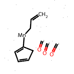 C=C[CH2][Mn][C]1=CC=CC1.[C]=O.[C]=O.[C]=O